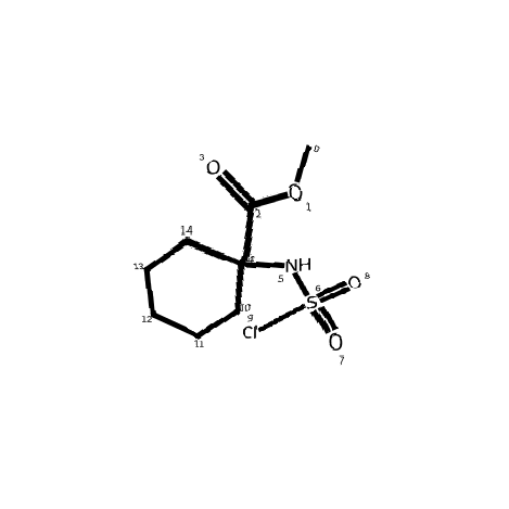 COC(=O)C1(NS(=O)(=O)Cl)CCCCC1